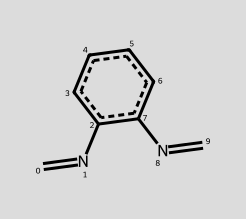 C=Nc1ccccc1N=C